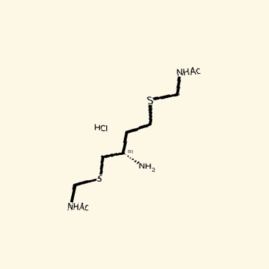 CC(=O)NCSCC[C@H](N)CSCNC(C)=O.Cl